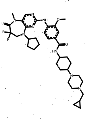 COc1cc(C(=O)NC2CCC(N3CCN(CC4CC4)CC3)CC2)ccc1Nc1ncc2c(n1)N(C1CCCC1)CC(F)(F)C(=O)N2C